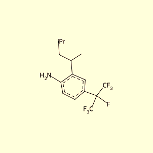 CC(C)CC(C)c1cc(C(F)(C(F)(F)F)C(F)(F)F)ccc1N